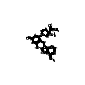 NC(=O)C1(N)CCN(c2cc(Cl)cc(Br)c2Cn2cnc3c(N)ncnc32)C1